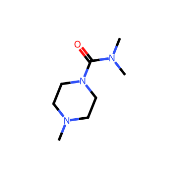 CN1CCN(C(=O)N(C)C)CC1